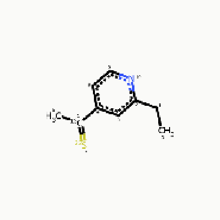 CCc1cc([13C](C)=[33S])ccn1